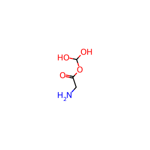 NCC(=O)OC(O)O